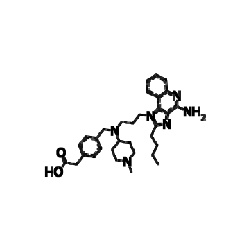 CCCCc1nc2c(N)nc3ccccc3c2n1CCCN(Cc1ccc(CC(=O)O)cc1)C1CCN(C)CC1